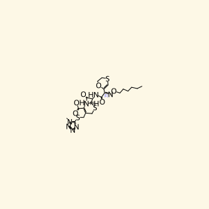 CCCCCCO/N=C(/C(=O)NC1C(=O)N2C(C(=O)O)=C(CSc3nnnn3C)CS[C@H]12)C1=CSCCO1